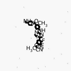 Cc1cc(Nc2nccn3c(-c4ccc(OC(C)(C)C#N)c(F)c4F)cnc23)ccc1C(=O)N1CCC(CN)CC1